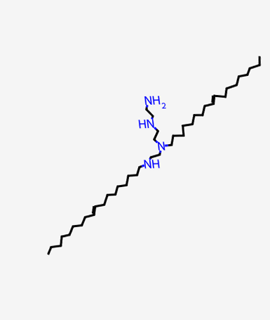 CCCCCCCCC=CCCCCCCCCNCCN(CCCCCCCCC=CCCCCCCCC)CCNCCN